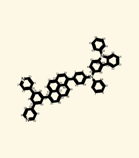 c1ccc(N(c2ccc(-c3ccc4ccc5c(-c6cc(-c7ccncc7)cc(-c7ccncc7)c6)ccc6ccc3c4c65)cc2)c2ccc3c(c2)c2ccccc2n3-c2ccccc2)cc1